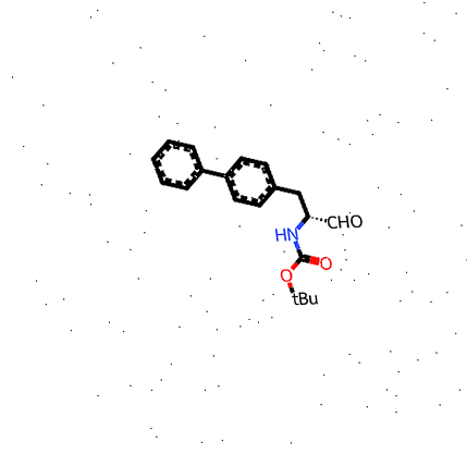 CC(C)(C)OC(=O)N[C@@H](C=O)Cc1ccc(-c2ccccc2)cc1